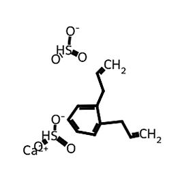 C=CCc1ccccc1CC=C.O=[SH](=O)[O-].O=[SH](=O)[O-].[Ca+2]